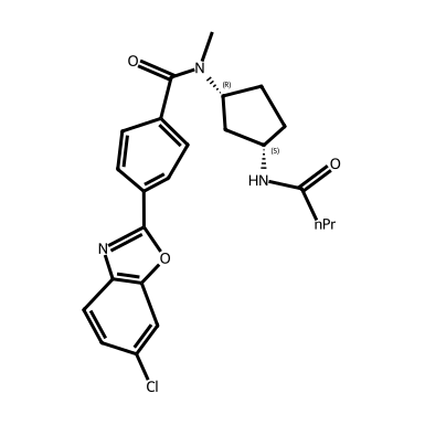 CCCC(=O)N[C@H]1CC[C@@H](N(C)C(=O)c2ccc(-c3nc4ccc(Cl)cc4o3)cc2)C1